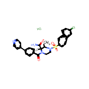 CC1N(S(=O)(=O)c2ccc3cc(Cl)ccc3c2)CCN(C(=O)c2ccc(-c3ccncc3)cc2)C1(C)C(N)=O.Cl